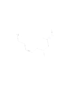 C/N=C(\C)CN(C)C/C=C\CCN